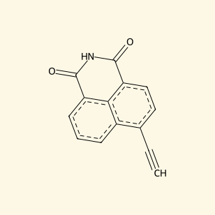 C#Cc1ccc2c3c(cccc13)C(=O)NC2=O